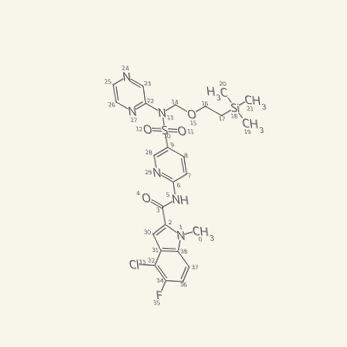 Cn1c(C(=O)Nc2ccc(S(=O)(=O)N(COCC[Si](C)(C)C)c3cnccn3)cn2)cc2c(Cl)c(F)ccc21